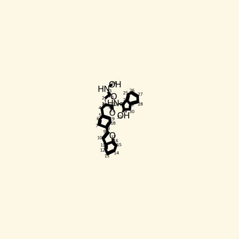 O=C(C[C@@H](Cc1ccc(-c2cc3ccccc3o2)cc1)C(=O)N[C@H]1c2ccccc2C[C@H]1O)NO